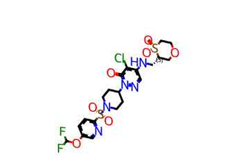 O=c1c(Cl)c(NC[C@H]2COCCS2(=O)=O)cnn1C1CCN(S(=O)(=O)c2ccc(OC(F)F)cn2)CC1